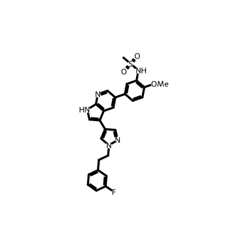 COc1ccc(-c2cnc3[nH]cc(-c4cnn(CCc5cccc(F)c5)c4)c3c2)cc1NS(C)(=O)=O